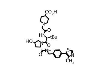 Cc1ncsc1-c1ccc(CNC(=O)[C@@H]2C[C@@H](O)CN2C(=O)[C@@H](NC(=O)CN2CCC(C(=O)O)CC2)C(C)(C)C)cc1